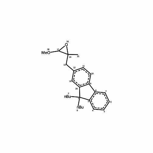 CCCCC1(CCCC)c2ccccc2-c2ccc(CC3(C)OC3OC)cc21